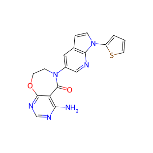 Nc1ncnc2c1C(=O)N(c1cnc3c(ccn3-c3cccs3)c1)CCO2